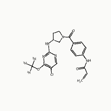 [2H]C([2H])([2H])Oc1nc(NC2CCN(C(=O)c3ccc(NC(=O)C=C)cc3)C2)ncc1Cl